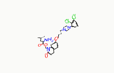 CC(C)CC(N)C(=O)OCN1C(=O)CCc2ccc(OCCCCN3CCN(c4cccc(Cl)c4Cl)CC3)cc21